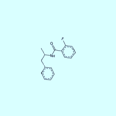 CC(Cc1ccccc1)NC(=O)c1ccccc1F